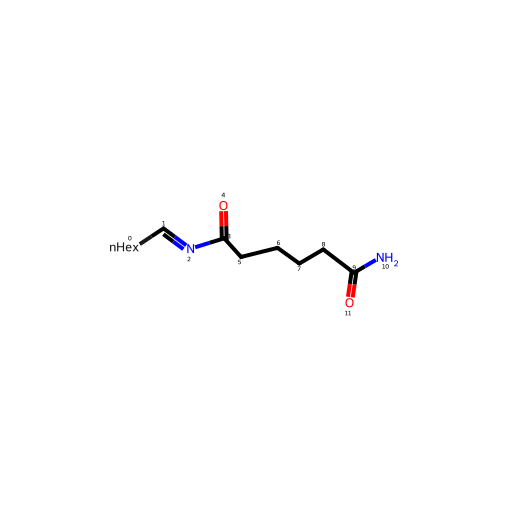 CCCCCCC=NC(=O)CCCCC(N)=O